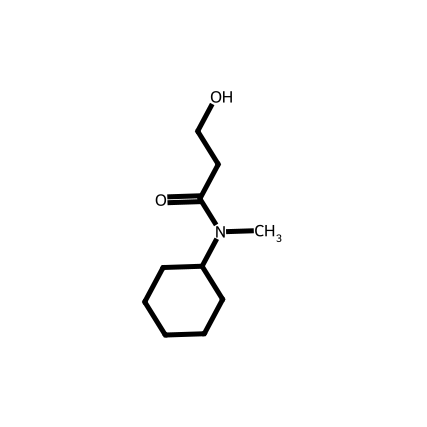 CN(C(=O)CCO)C1CCCCC1